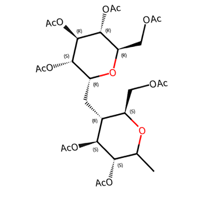 CC(=O)OC[C@H]1OC(C)[C@H](OC(C)=O)[C@@H](OC(C)=O)[C@@H]1C[C@H]1O[C@H](COC(C)=O)[C@@H](OC(C)=O)[C@H](OC(C)=O)[C@H]1OC(C)=O